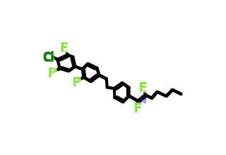 CCCCC/C(F)=C(\F)c1ccc(CCc2ccc(-c3cc(F)c(Cl)c(F)c3)c(F)c2)cc1